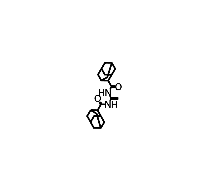 C=C(NC(=O)C1C2CC3CC(C2)CC1C3)NC(=O)C1C2CC3CC(C2)CC1C3